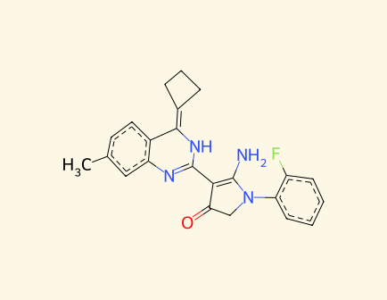 Cc1ccc2c(c1)N=C(C1=C(N)N(c3ccccc3F)CC1=O)NC2=C1CCC1